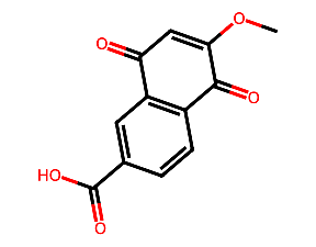 COC1=CC(=O)c2cc(C(=O)O)ccc2C1=O